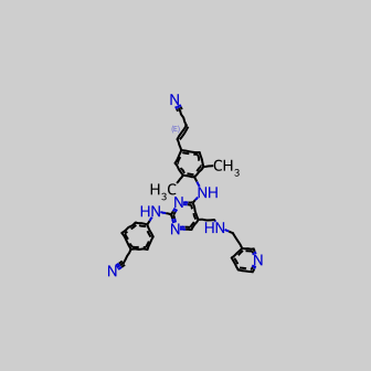 Cc1cc(/C=C/C#N)cc(C)c1Nc1nc(Nc2ccc(C#N)cc2)ncc1CNCc1cccnc1